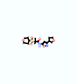 CC(C)(C(=O)Nc1cc(C2CCOC2)no1)S(=O)(=O)C1CCOCC1